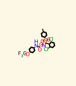 Cc1ccc(S(=O)(=O)C(=NOC(=O)Nc2ccc(OC(F)(F)F)cc2)c2c(Cl)cccc2Cl)cc1